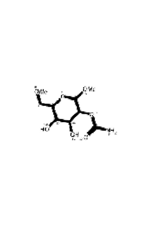 COCC1OC(OC)C(OC(N)=O)C(O)C1O